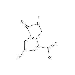 CN1Cc2c(cc(Br)cc2[N+](=O)[O-])C1=O